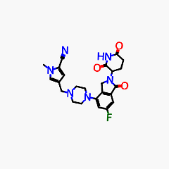 Cn1cc(CN2CCN(c3cc(F)cc4c3CN(C3CCC(=O)NC3=O)C4=O)CC2)cc1C#N